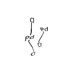 [Cl][Pd].[Cl][Pd][Cl]